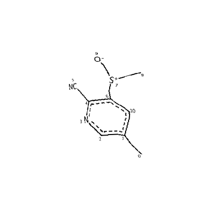 Cc1cnc(C#N)c([S+](C)[O-])c1